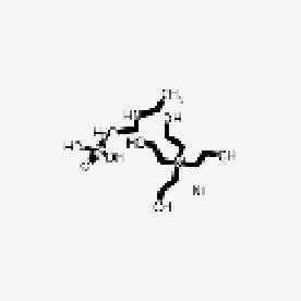 CCNCC.O=S(=O)(O)O.OCC[N+](CCO)(CCO)CCO.[Ni]